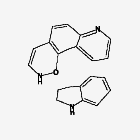 C1=Cc2ccc3ncccc3c2ON1.c1ccc2c(c1)CCN2